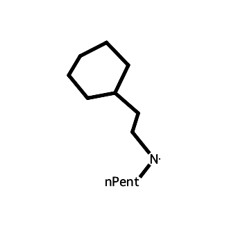 CCCCC[N]CCC1CCCCC1